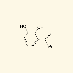 CC(C)C(=O)c1cncc(O)c1O